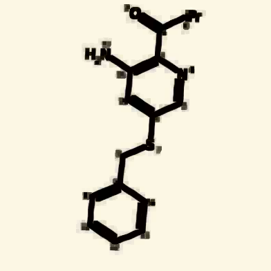 CC(C)C(=O)c1ncc(SCc2ccccc2)cc1N